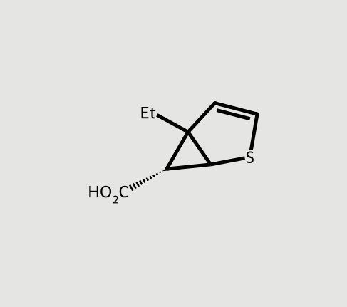 CCC12C=CSC1[C@@H]2C(=O)O